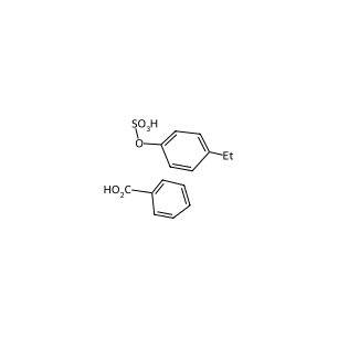 CCc1ccc(OS(=O)(=O)O)cc1.O=C(O)c1ccccc1